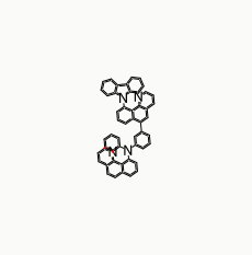 c1ccc(N(c2cccc(-c3cc4cccnc4c4c(-n5c6ccccc6c6ccccc65)cccc34)c2)c2cccc3ccc4cccnc4c23)cc1